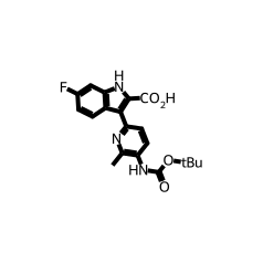 Cc1nc(-c2c(C(=O)O)[nH]c3cc(F)ccc23)ccc1NC(=O)OC(C)(C)C